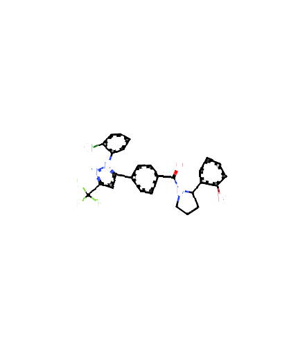 O=C(c1ccc(-c2cc(C(F)(F)F)nn2-c2ccccc2Cl)cc1)N1CCCC1c1ccccc1Br